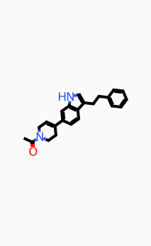 CC(=O)N1CC=C(c2ccc3c(CCc4ccccc4)c[nH]c3c2)CC1